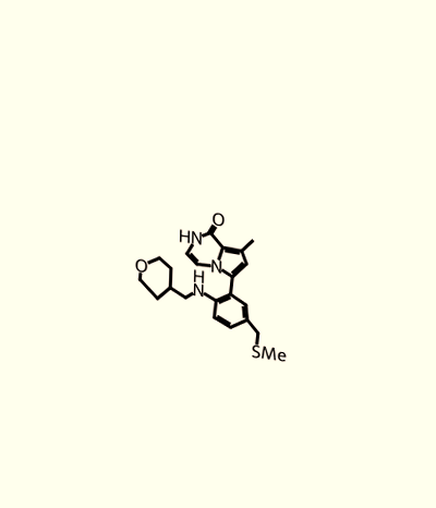 CSCc1ccc(NCC2CCOCC2)c(-c2cc(C)c3c(=O)[nH]ccn23)c1